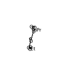 CCCc1c(OCCCCCCc2cccc(OCCCCCC(=O)OC(=O)CC)c2)ccc2c1OCCC2=O